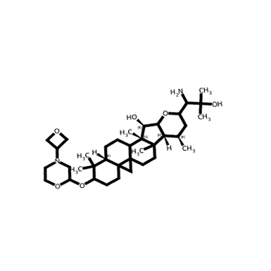 C[C@@H]1CC(C(N)C(C)(C)O)OC2[C@H]1C1(C)CCC34CC35CCC(OC3CN(C6COC6)CCO3)C(C)(C)[C@@H]5CCC4[C@]1(C)[C@H]2O